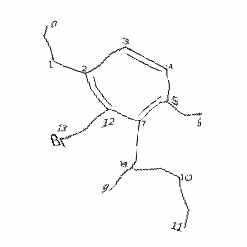 CCc1c[c]c(C)c(C(C)CC)c1Br